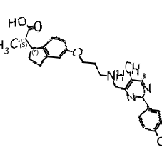 Cc1cnc(-c2ccc(Cl)cc2)nc1CNCCCOc1ccc2c(c1)CC[C@H]2[C@H](C)C(=O)O